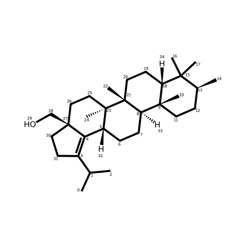 CC(C)C1=C2[C@H]3CC[C@@H]4[C@@]5(C)CC[C@H](C)C(C)(C)[C@H]5CC[C@@]4(C)[C@]3(C)CC[C@@]2(CO)CC1